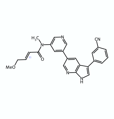 COC/C=C/C(=O)N(C)c1cncc(-c2cnc3[nH]cc(-c4cccc(C#N)c4)c3c2)c1